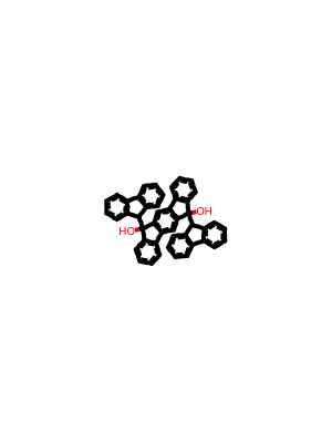 OC1(C2c3ccccc3-c3ccccc32)c2ccccc2-c2cc3c(cc21)-c1ccccc1C3(O)C1c2ccccc2-c2ccccc21